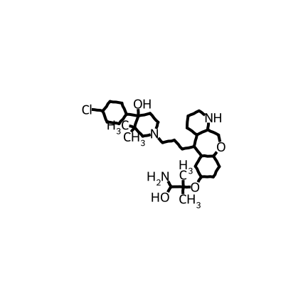 CC(C)(OC1CCC2OCC3NCCCC3C(CCCN3CCC(O)(C4CCC(Cl)CC4)C(C)(C)C3)C2C1)C(N)O